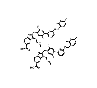 COCCn1c(Cc2cc(F)c(-c3cccc(OCc4ccc(C)nc4C)n3)cc2F)nc2ccc(C(=O)O)cc21.COCCn1c(Cc2cc(F)c(-c3cccc(OCc4ccc(C)nc4C)n3)cc2F)nc2ccc(C(=O)O)cc21